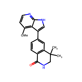 COc1ccnc2[nH]cc(-c3ccc4c(c3)C(C)(C)CNC4=O)c12